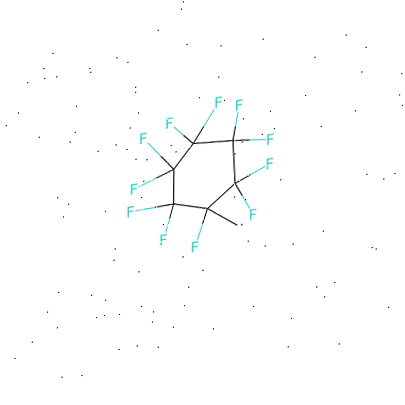 [CH2]C1(F)C(F)(F)C(F)(F)C(F)(F)C(F)(F)C1(F)F